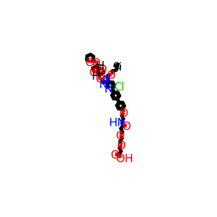 C[Si](C)(C)CCOCn1c(O[C@@H]2CO[C@H]3[C@@H]2OC[C@H]3OC2CCCCO2)nc2nc(-c3ccc(-c4ccc(OCCNC(=O)CCOCCOCCC(=O)O)cc4)cc3)c(Cl)cc21